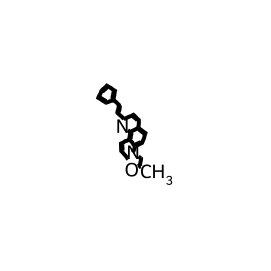 CC(=O)CN1CC=Cc2c1ccc1ccc(C=Cc3ccccc3)nc21